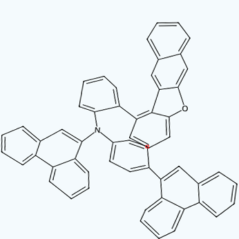 c1ccc(N(c2ccc(-c3cc4ccccc4c4ccccc34)cc2)c2cc3ccccc3c3ccccc23)c(-c2cccc3oc4cc5ccccc5cc4c23)c1